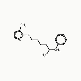 Cc1ccsc1OCCCCC(C)[SiH2]c1ccccc1